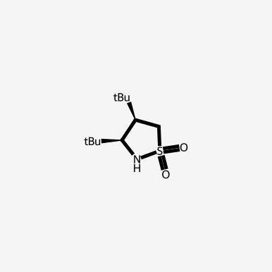 CC(C)(C)[C@@H]1NS(=O)(=O)C[C@@H]1C(C)(C)C